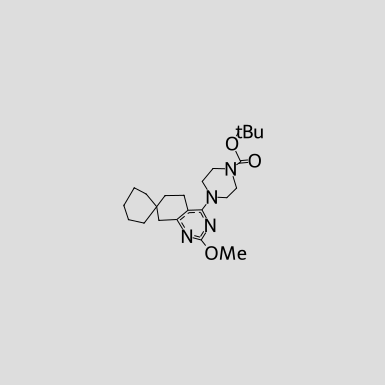 COc1nc2c(c(N3CCN(C(=O)OC(C)(C)C)CC3)n1)CCC1(CCCCC1)C2